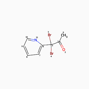 CC(=O)C(Br)(Br)c1ccccn1